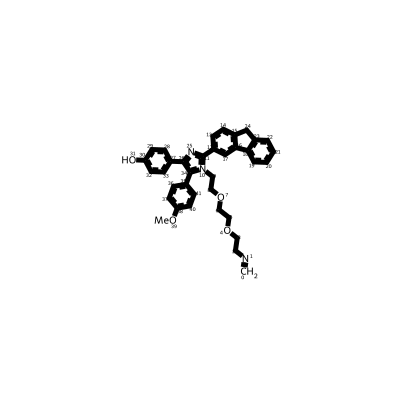 C=NCCOCCOCCn1c(-c2ccc3c(c2)-c2ccccc2C3)nc(-c2ccc(O)cc2)c1-c1ccc(OC)cc1